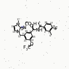 Cc1cc([C@H](C)NC(=O)c2cc(Cn3ccn(C)/c3=N\C(=O)O)cc(OC(F)(F)F)c2)ccc1F